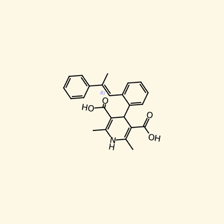 CC1=C(C(=O)O)C(c2ccccc2/C=C(\C)c2ccccc2)C(C(=O)O)=C(C)N1